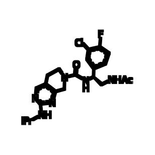 CC(=O)NC[C@@H](NC(=O)N1CCc2cnc(NC(C)C)nc2C1)c1ccc(F)c(Cl)c1